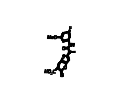 COc1cc(F)cc(NC(=O)N(C)c2cc3oc(=O)c(C(=O)O)cc3s2)c1